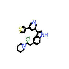 ClC(Cc1ccc2[nH]cc(-c3cncc(-c4ccsc4)c3)c2c1)N1CCCCC1